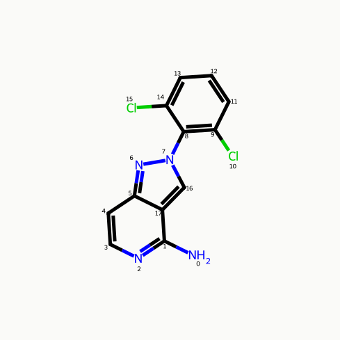 Nc1nccc2nn(-c3c(Cl)cccc3Cl)cc12